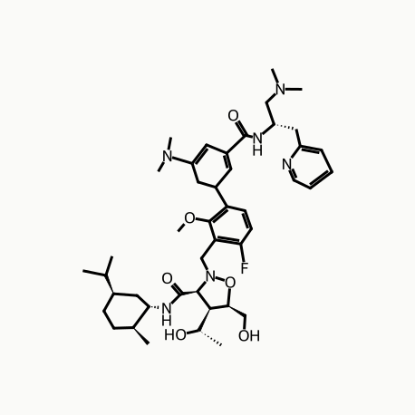 COc1c(C2C=C(C(=O)N[C@@H](Cc3ccccn3)CN(C)C)C=C(N(C)C)C2)ccc(F)c1CN1O[C@@H](CO)[C@@H]([C@H](C)O)[C@H]1C(=O)N[C@H]1C[C@H](C(C)C)CC[C@@H]1C